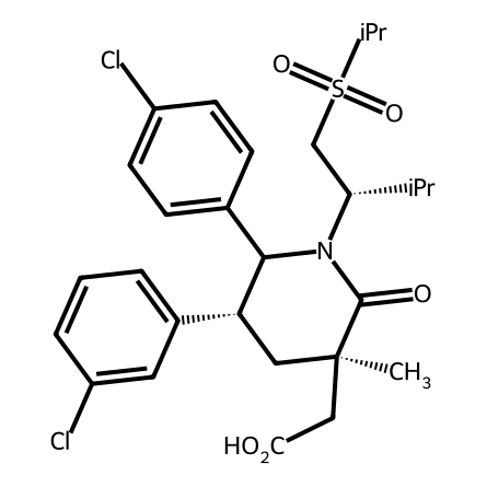 CC(C)[C@@H](CS(=O)(=O)C(C)C)N1C(=O)[C@@](C)(CC(=O)O)C[C@H](c2cccc(Cl)c2)C1c1ccc(Cl)cc1